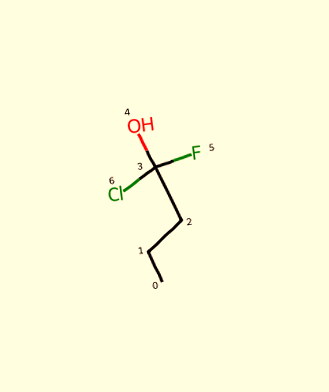 CCCC(O)(F)Cl